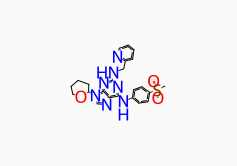 CS(=O)(=O)c1ccc(Nc2nc(NCc3ccccn3)nc3c2ncn3C2CCCCO2)cc1